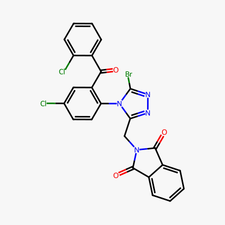 O=C(c1ccccc1Cl)c1cc(Cl)ccc1-n1c(Br)nnc1CN1C(=O)c2ccccc2C1=O